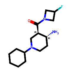 N[C@@H]1CCN(C2CCCCC2)C[C@H]1C(=O)N1CC(F)C1